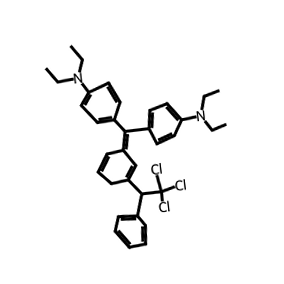 CCN(CC)c1ccc(C(=C2C=CCC(C(c3ccccc3)C(Cl)(Cl)Cl)=C2)c2ccc(N(CC)CC)cc2)cc1